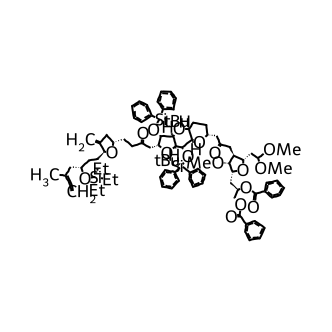 C=C=C(C)C[C@H](CC[C@@H]1O[C@@H](CCC(=O)C[C@H]2O[C@H]3[C@@H](O[Si](c4ccccc4)(c4ccccc4)C(C)(C)C)[C@H]4O[C@@H](CC(=O)C[C@@H]5[C@@H](OC)[C@@H](C[C@H](COC(=O)c6ccccc6)OC(=O)c6ccccc6)O[C@H]5CC(OC)OC)CC[C@@H]4O[C@H]3[C@H]2O[Si](c2ccccc2)(c2ccccc2)C(C)(C)C)CC1=C)O[Si](CC)(CC)CC